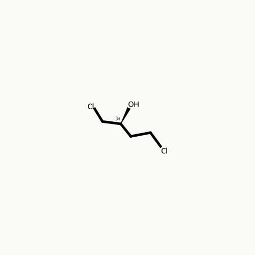 O[C@H](CCl)CCCl